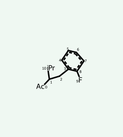 CC(=O)C(Cc1ccccc1F)C(C)C